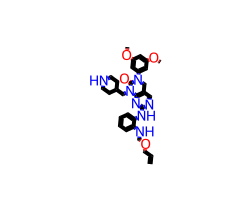 C=CCOCNc1ccccc1Nc1ncc2c(n1)N(CC1CCNCC1)C(=O)N(c1cc(OC)cc(OC)c1)C2